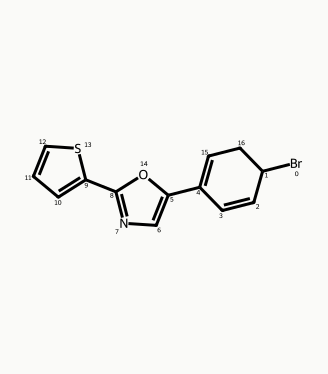 BrC1C=CC(c2cnc(-c3cccs3)o2)=CC1